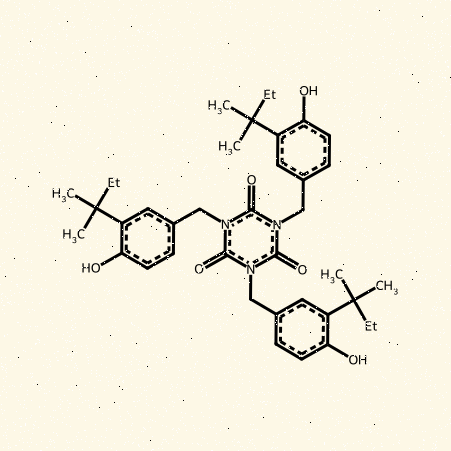 CCC(C)(C)c1cc(Cn2c(=O)n(Cc3ccc(O)c(C(C)(C)CC)c3)c(=O)n(Cc3ccc(O)c(C(C)(C)CC)c3)c2=O)ccc1O